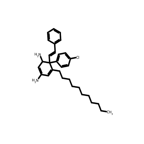 CCCCCCCCCCCC1=CC(N)=CC(N)C1(C=Cc1ccccc1)c1ccc(Cl)cc1